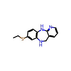 CCSc1ccc2c(c1)NCc1cccnc1N2